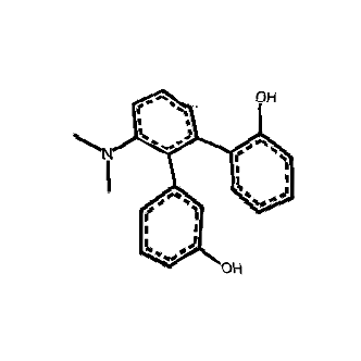 CN(C)c1cc[c]c(-c2ccccc2O)c1-c1cccc(O)c1